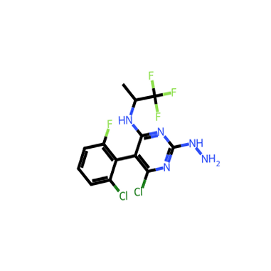 CC(Nc1nc(NN)nc(Cl)c1-c1c(F)cccc1Cl)C(F)(F)F